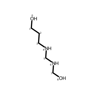 OCCCNCNCO